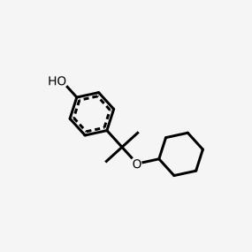 CC(C)(OC1CCCCC1)c1ccc(O)cc1